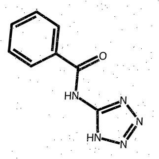 O=C(Nc1nnn[nH]1)c1c[c]ccc1